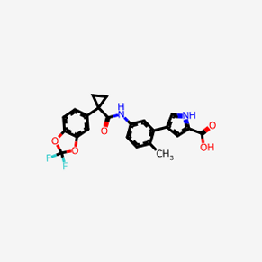 Cc1ccc(NC(=O)C2(c3ccc4c(c3)OC(F)(F)O4)CC2)cc1-c1c[nH]c(C(=O)O)c1